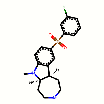 CN1c2ccc(S(=O)(=O)c3cccc(F)c3)cc2[C@H]2CCNCC[C@H]21